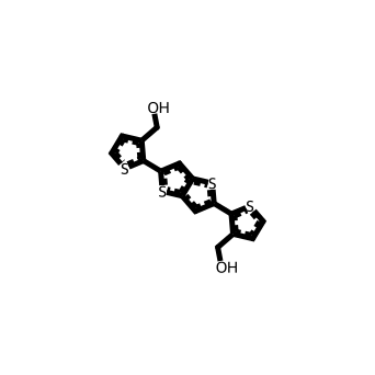 OCc1ccsc1-c1cc2sc(-c3sccc3CO)cc2s1